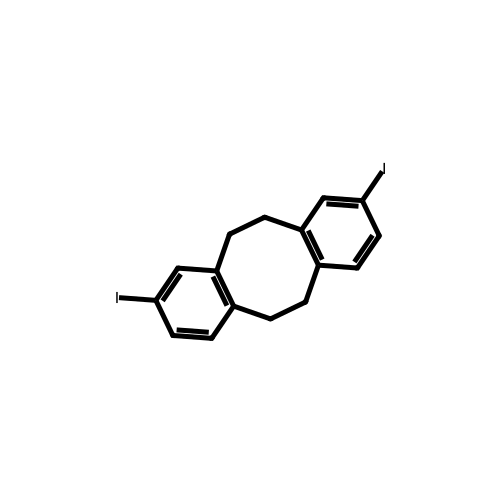 Ic1ccc2c(c1)CCc1cc(I)ccc1CC2